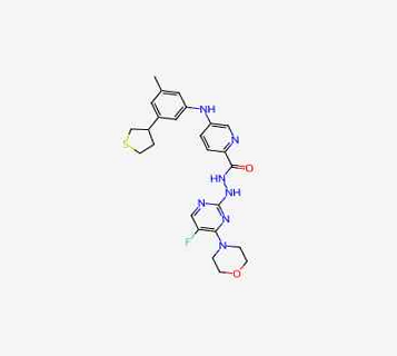 Cc1cc(Nc2ccc(C(=O)NNc3ncc(F)c(N4CCOCC4)n3)nc2)cc(C2CCSC2)c1